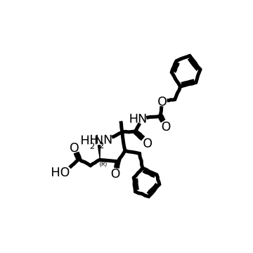 CC(N)(C(=O)NC(=O)OCc1ccccc1)C(Cc1ccccc1)C(=O)[C@H](N)CC(=O)O